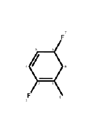 CC1=C(F)C=CC(F)C1